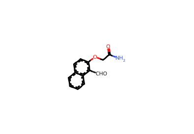 NC(=O)COc1ccc2ccccc2c1C=O